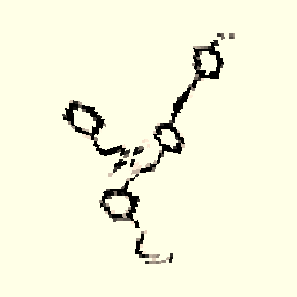 CCCCc1ccc(C#Cc2ccc(CN(c3cccc(OCC(=O)O)c3)S(=O)(=O)/C=C/c3ccccc3)cc2)cc1